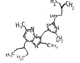 CCC(CC)c1cc(C)nn2c(-c3sc(NCC(C)C)nc3C)c(C)nc12